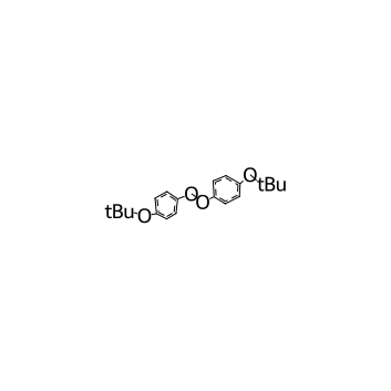 CC(C)(C)Oc1ccc(OOc2ccc(OC(C)(C)C)cc2)cc1